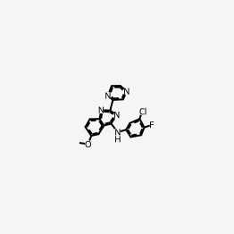 COc1ccc2nc(-c3cnccn3)nc(Nc3ccc(F)c(Cl)c3)c2c1